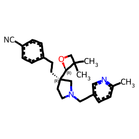 Cc1ccc(CN2CC[C@@](CCc3ccc(C#N)cc3)([C@H]3OCC3(C)C)C2)cn1